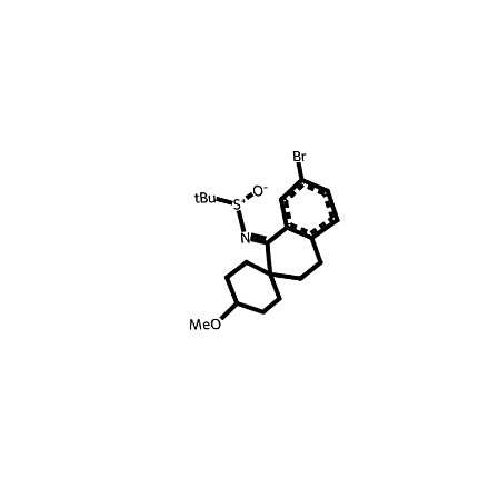 COC1CCC2(CCc3ccc(Br)cc3C2=N[S+]([O-])C(C)(C)C)CC1